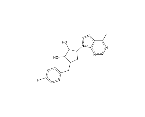 Cc1ncnc2c1ccn2C1CC(Cc2ccc(F)cc2)C(O)C1O